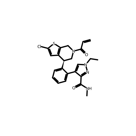 C=CC(=O)N1Cc2sc(Cl)cc2[C@H](c2ccccc2-c2cn(CC)nc2C(=O)NC)C1